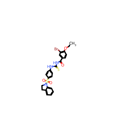 CCOc1ccc(C(=O)NC(=S)Nc2ccc(S(=O)(=O)N3CCc4ccccc43)cc2)cc1Br